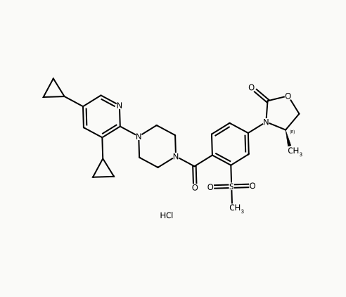 C[C@@H]1COC(=O)N1c1ccc(C(=O)N2CCN(c3ncc(C4CC4)cc3C3CC3)CC2)c(S(C)(=O)=O)c1.Cl